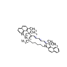 C=C(/C=C/C=C/C=C1\N(CCCCCCC)c2ccc3ccccc3c2C1(C)C)C(C)(C)c1c(C)ccc2ccccc12